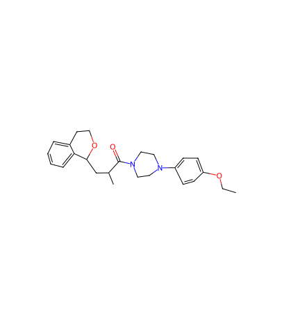 CCOc1ccc(N2CCN(C(=O)C(C)CC3OCCc4ccccc43)CC2)cc1